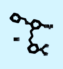 CC(C)N(c1cccc(CCCc2cc(C(=O)O)ccc2OCc2ccccc2)c1)C(C)C.Cl